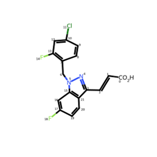 O=C(O)C=Cc1nn(Cc2ccc(Cl)cc2F)c2cc(F)ccc12